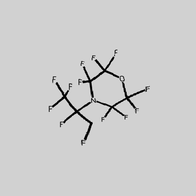 FCC(F)(N1C(F)(F)C(F)(F)OC(F)(F)C1(F)F)C(F)(F)F